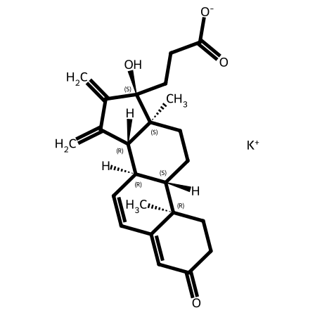 C=C1C(=C)[C@](O)(CCC(=O)[O-])[C@@]2(C)CC[C@H]3[C@@H](C=CC4=CC(=O)CC[C@@]43C)[C@H]12.[K+]